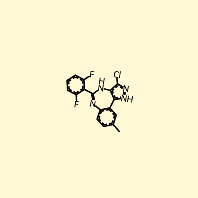 Cc1ccc2c(c1)-c1[nH]nc(Cl)c1NC(c1c(F)cccc1F)=N2